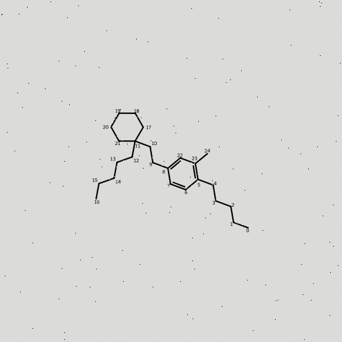 CCCCCc1ccc(CCC2(CCCCC)CCCCC2)cc1C